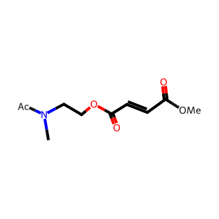 COC(=O)/C=C/C(=O)OCCN(C)C(C)=O